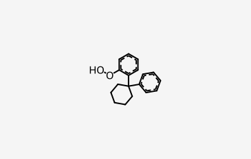 OOc1ccccc1C1(c2ccccc2)CCCCC1